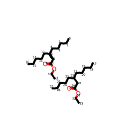 CCCCCC(=CC(=O)OCC)CCCCC.CCCCCC(CCCCC)CC(=O)OCC